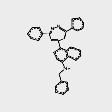 C1=C(c2ccc(NCc3ccccc3)c3ccccc23)CC(c2ccccc2)=NN=C1c1ccccc1